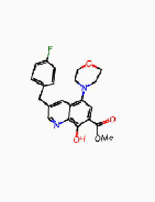 COC(=O)c1cc(N2CCOCC2)c2cc(Cc3ccc(F)cc3)cnc2c1O